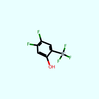 Oc1cc(F)c(F)cc1[B-](F)(F)F